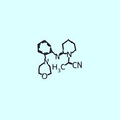 CC(C#N)N1CCCC/C1=N\c1ccccc1N1CCOCC1